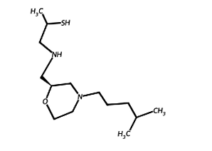 CC(C)CCCN1CCO[C@@H](CNCC(C)S)C1